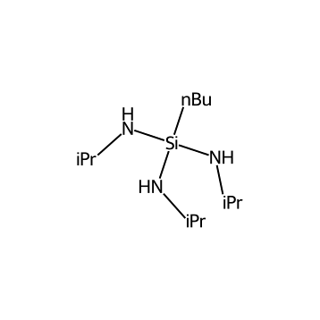 CCCC[Si](NC(C)C)(NC(C)C)NC(C)C